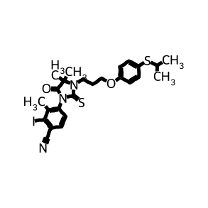 Cc1c(N2C(=O)C(C)(C)N(CCCOc3ccc(SC(C)C)cc3)C2=S)ccc(C#N)c1I